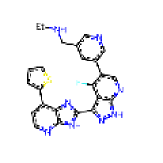 CCNCc1cncc(-c2cnc3[nH]nc(-c4nc5c(-c6cccs6)ccnc5[nH]4)c3c2F)c1